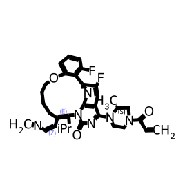 C=CC(=O)N1CCN(c2nc(=O)n3c4nc(c(F)cc24)-c2c(F)cccc2OCCCCC(/C=C\N=C)=C\3C(C)C)[C@@H](C)C1